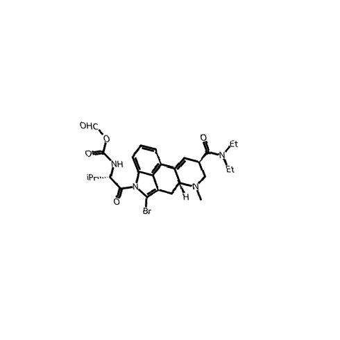 CCN(CC)C(=O)[C@@H]1C=C2c3cccc4c3c(c(Br)n4C(=O)[C@@H](NC(=O)OC=O)C(C)C)C[C@H]2N(C)C1